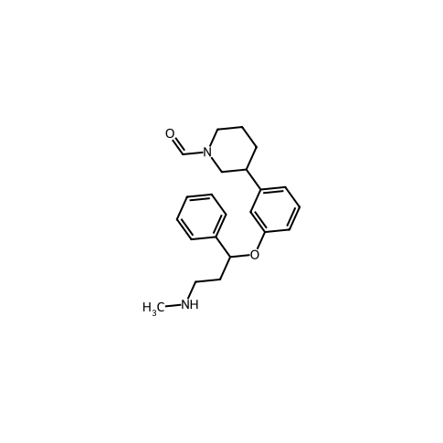 CNCCC(Oc1cccc(C2CCCN(C=O)C2)c1)c1ccccc1